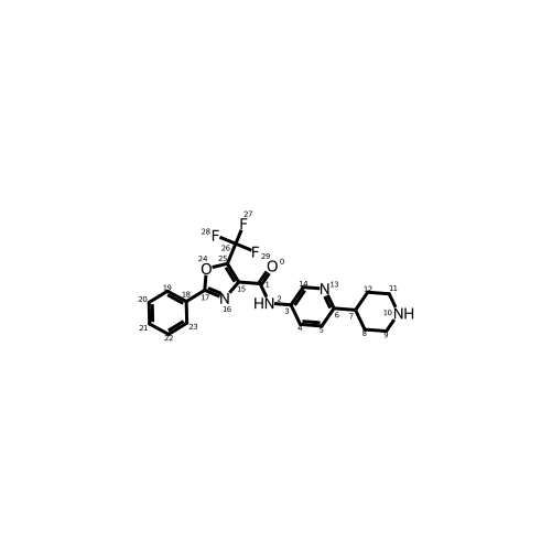 O=C(Nc1ccc(C2CCNCC2)nc1)c1nc(-c2ccccc2)oc1C(F)(F)F